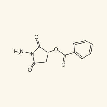 NN1C(=O)CC(OC(=O)c2ccccc2)C1=O